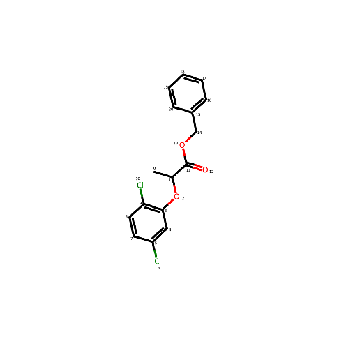 CC(Oc1cc(Cl)ccc1Cl)C(=O)OCc1ccccc1